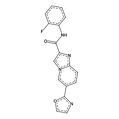 O=C(Nc1ccccc1F)c1cn2cc(-c3ncco3)ccc2n1